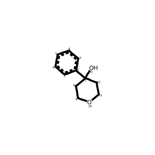 OC1(c2ccccc2)CCOCC1